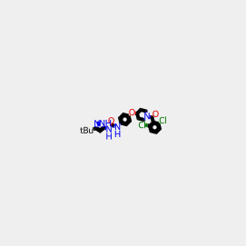 CC(C)(C)c1cc(NC(=O)Nc2ccc(OC3CCN(C(=O)c4c(Cl)cccc4Cl)CC3)cc2)[nH]n1